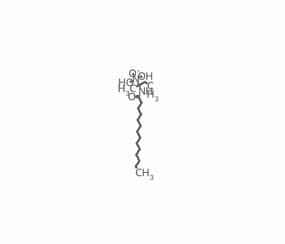 CCCCCCCCCCCCCC(=O)NC(C)(CC)[N+]([O-])(O)O